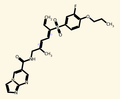 C=C/C(=C\C=C(/C)CNC(=O)c1cnc2nccn2c1)S(=O)(=O)c1ccc(OCCC)c(F)c1